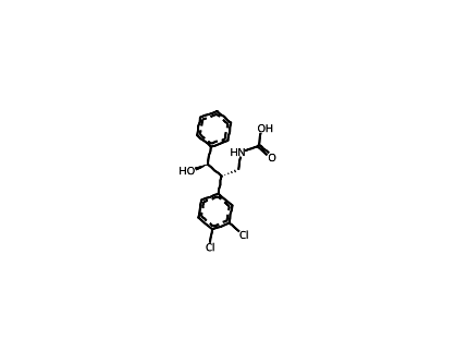 O=C(O)NC[C@H](c1ccc(Cl)c(Cl)c1)[C@@H](O)c1ccccc1